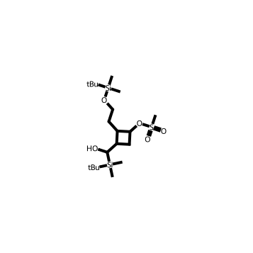 CC(C)(C)[Si](C)(C)OCCC1C(OS(C)(=O)=O)CC1C(O)[Si](C)(C)C(C)(C)C